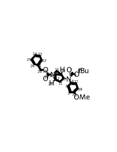 COc1ccc(N(C(=O)OC(C)(C)C)[C@@H]2C[C@H]3C[C@@H]2CN3C(=O)OCc2ccccc2)cc1